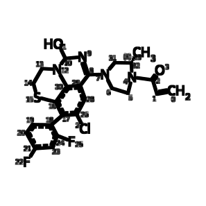 C=CC(=O)N1CCN(C2=NC(O)N3CCSc4c(-c5ccc(F)cc5F)c(Cl)cc2c43)C[C@@H]1C